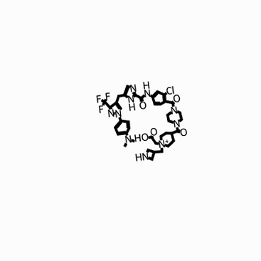 CN(C)c1ccc(-n2cc(Cc3cnc(C(=O)Nc4ccc(C(=O)N5CCN(C(=O)C6CC[N+](CC(=O)O)(CC7CNC7)CC6)CC5)c(Cl)c4)[nH]3)c(C(F)(F)F)n2)cc1